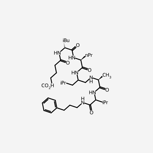 CCC[C@H](NC(=O)C(NC(=O)CCCC(=O)O)[C@@H](C)CC)C(=O)NC(CN[C@@H](C)C(=O)NC(C(=O)NCCCc1ccccc1)C(C)C)CC(C)C